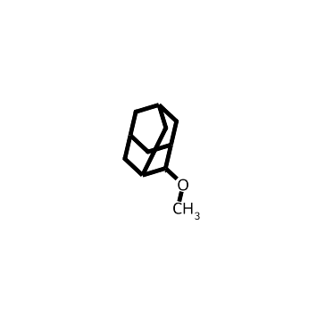 CO[C]1C2CC3CC(C2)CC1C3